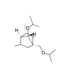 CC(C)OC[C@@]12CC(C)[C@@H]([C@H](C)O1)[C@@H]2OC(C)C